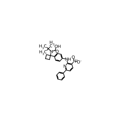 CC(C)(C)N(C(=O)O)C1(c2ccc(Nc3nc(-c4ccccc4)ccc3[N+](=O)[O-])cc2)CCC1